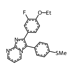 CCOc1ccc(-c2nc3ncccn3c2-c2ccc(SC)cc2)cc1F